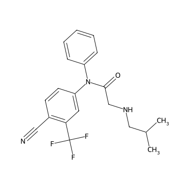 CC(C)CNCC(=O)N(c1ccccc1)c1ccc(C#N)c(C(F)(F)F)c1